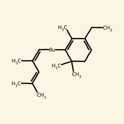 CCC1=CCC(C)(C)[C]([Ru][CH]=C(C)C=C(C)C)=C1C